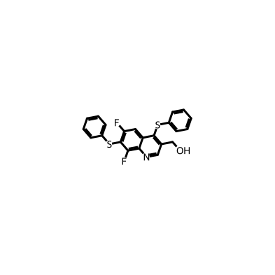 OCc1cnc2c(F)c(Sc3ccccc3)c(F)cc2c1Sc1ccccc1